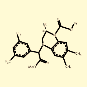 CC[C@H]1CN(C(C(=O)OC)c2cc(C(F)(F)F)cc(C(F)(F)F)c2)c2cc(C)c(C)cc2N1C(=O)OC(C)C